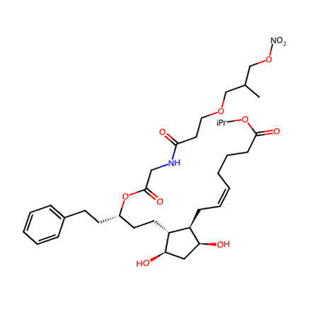 CC(COCCC(=O)NCC(=O)O[C@@H](CCc1ccccc1)CC[C@@H]1[C@@H](C/C=C\CCCC(=O)OC(C)C)[C@@H](O)C[C@H]1O)CO[N+](=O)[O-]